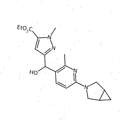 CCOC(=O)c1cc(C(O)c2ccc(N3CC4CC4C3)nc2C)nn1C